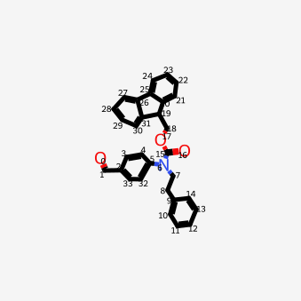 O=Cc1ccc(N(CCc2ccccc2)C(=O)OCC2c3ccccc3-c3ccccc32)cc1